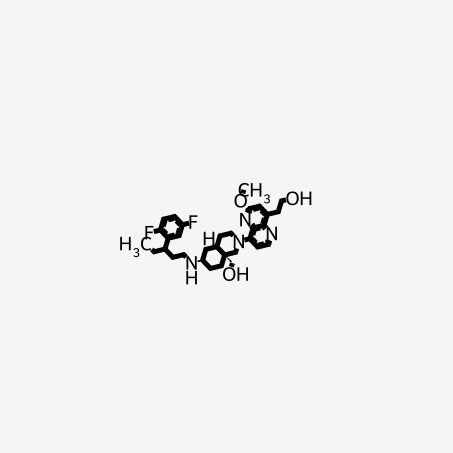 CCC(CCN[C@H]1CC[C@]2(CO)CN(c3ccnc4c(CCO)cc(OC)nc34)CC[C@H]2C1)c1cc(F)ccc1F